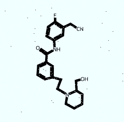 N#CCc1cc(NC(=O)c2cccc(CCN3CCCCC3CO)c2)ccc1F